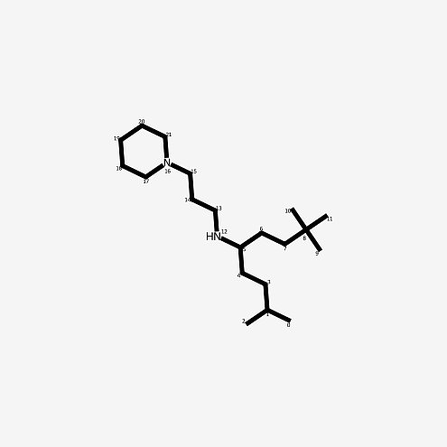 CC(C)CCC(CCC(C)(C)C)NCCCN1CCCCC1